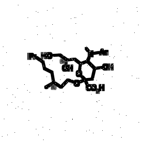 CC(=O)N(C)C1C(O)CC(OCC[C@@H](C)CCCC(C)C)(C(=O)O)OC1C[C@H](O)CO